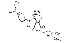 Cc1ncc(C(=O)Nc2cc(Cl)cc(C=C3CCN(C(=O)C4CCCC4)CC3)c2C)cc1C#N